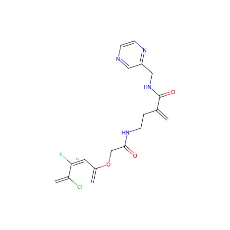 C=C(/C=C(/F)C(=C)Cl)OCC(=O)NCCC(=C)C(=O)NCc1cnccn1